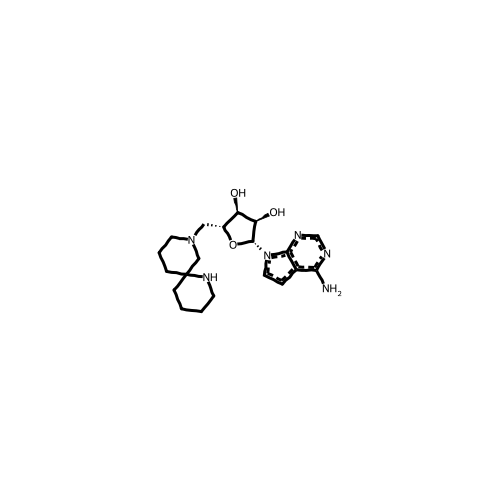 Nc1ncnc2c1ccn2[C@@H]1O[C@H](CN2CCCC3(CCCCN3)C2)[C@@H](O)[C@H]1O